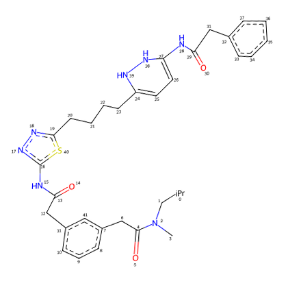 CC(C)CN(C)C(=O)Cc1cccc(CC(=O)Nc2nnc(CCCCC3=CC=C(NC(=O)Cc4ccccc4)NN3)s2)c1